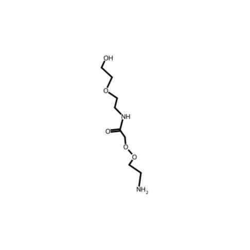 NCCOOCC(=O)NCCOCCO